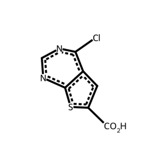 O=C(O)c1cc2c(Cl)ncnc2s1